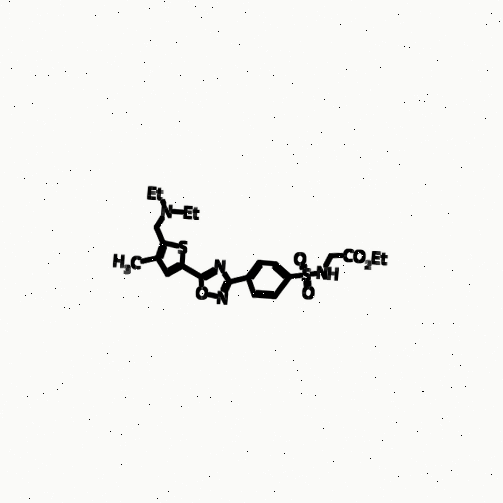 CCOC(=O)CNS(=O)(=O)c1ccc(-c2noc(-c3cc(C)c(CN(CC)CC)s3)n2)cc1